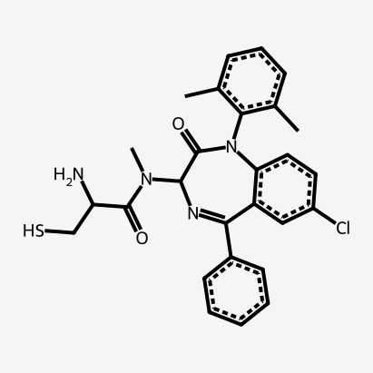 Cc1cccc(C)c1N1C(=O)C(N(C)C(=O)C(N)CS)N=C(c2ccccc2)c2cc(Cl)ccc21